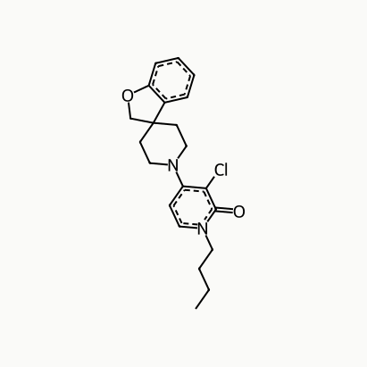 CCCCn1ccc(N2CCC3(CC2)COc2ccccc23)c(Cl)c1=O